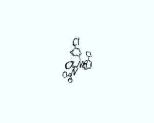 Clc1ccccc1.O=C(N=S(=O)=O)Nc1ccc(Cl)cc1